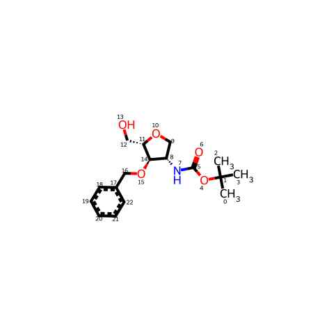 CC(C)(C)OC(=O)N[C@H]1CO[C@@H](CO)[C@@H]1OCc1ccccc1